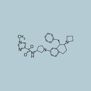 Cn1cnc(S(=O)(=O)N[C@H]2CCN(c3ccc4c(c3)[C@@H](Cc3ccccc3)[C@@H](N3CCC3)CC4)C2)c1